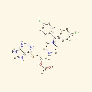 CC(=O)OC(CSc1ncnc2[nH]cnc12)CN1CCN(C(c2ccc(F)cc2)c2ccc(F)cc2)CC1